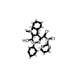 CCN(C(=O)C1=NN(c2ccccc2)C(O)c2c1c1ccccc1n2C)c1ncccn1